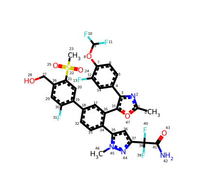 Cc1nc(-c2ccc(OC(F)F)c(F)c2)c(-c2cc(-c3cc(S(C)(=O)=O)c(CO)cc3F)ccc2-c2cc(C(F)(F)C(N)=O)nn2C)o1